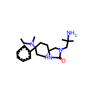 CCN(C)[C@]1(c2ccccc2)CC[C@]2(CC1)CN(CC(C)(C)N)C(=O)N2